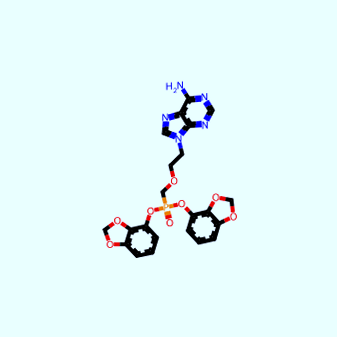 Nc1ncnc2c1ncn2CCOCP(=O)(Oc1cccc2c1OCO2)Oc1cccc2c1OCO2